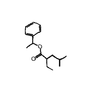 CCC(CC(C)C)C(=O)OC(C)c1ccccc1